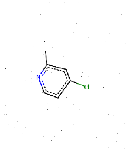 Cc1cc(Cl)c[c]n1